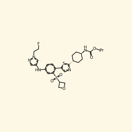 CC(C)OC(=O)N[C@H]1CC[C@H](c2ncc(-c3ccc(Nc4cnn(CCF)c4)cc3S(=O)(=O)C3COC3)s2)CC1